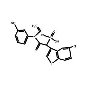 C=CN(C(=O)C(c1csc2ccc(Cl)cc12)P(=O)(O)O)c1cccc(C#N)c1